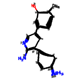 COc1ccc(-c2cnc(N)c(-c3ccc(N)cc3)c2)cc1O